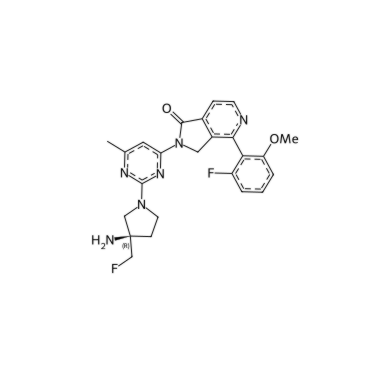 COc1cccc(F)c1-c1nccc2c1CN(c1cc(C)nc(N3CC[C@](N)(CF)C3)n1)C2=O